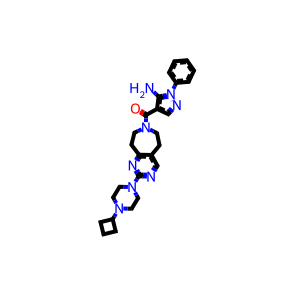 Nc1c(C(=O)N2CCc3cnc(N4CCN(C5CCC5)CC4)nc3CC2)cnn1-c1ccccc1